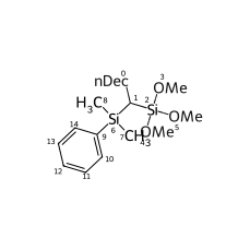 CCCCCCCCCCC([Si](OC)(OC)OC)[Si](C)(C)c1ccccc1